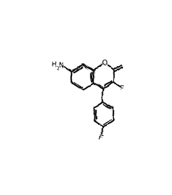 C=C1Oc2cc(N)ccc2C(c2ccc(F)cc2)=C1F